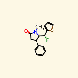 CN1C(=O)C[C@H](c2ccccc2)[C@@H]1[C@H](F)c1cccs1